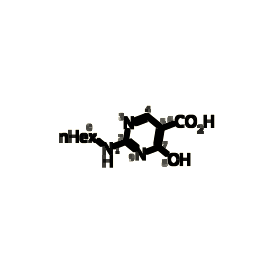 CCCCCCNc1ncc(C(=O)O)c(O)n1